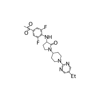 CCc1cnc(N2CCC(N3CCC(Nc4c(F)cc(S(C)(=O)=O)cc4F)C3=O)CC2)nc1